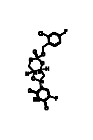 O=c1[nH]c(=O)n([C@H]2C[C@@H]3OP(=O)(OCc4ccc(F)cc4Cl)OC[C@H]3O2)cc1F